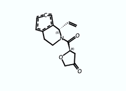 C=C[C@H]1c2ccccc2CCN1C(=O)[C@H]1CC(=O)CO1